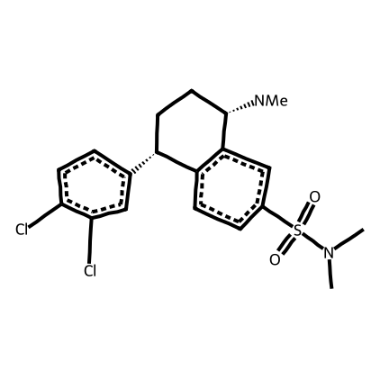 CN[C@H]1CC[C@@H](c2ccc(Cl)c(Cl)c2)c2ccc(S(=O)(=O)N(C)C)cc21